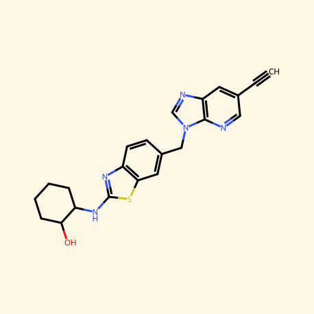 C#Cc1cnc2c(c1)ncn2Cc1ccc2nc(NC3CCCCC3O)sc2c1